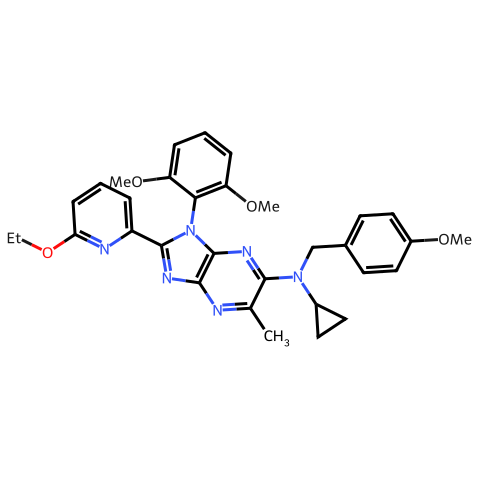 CCOc1cccc(-c2nc3nc(C)c(N(Cc4ccc(OC)cc4)C4CC4)nc3n2-c2c(OC)cccc2OC)n1